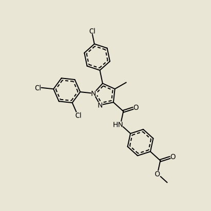 COC(=O)c1ccc(NC(=O)c2nn(-c3ccc(Cl)cc3Cl)c(-c3ccc(Cl)cc3)c2C)cc1